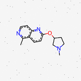 Cc1nccc2nc(OC3CCN(C)C3)ccc12